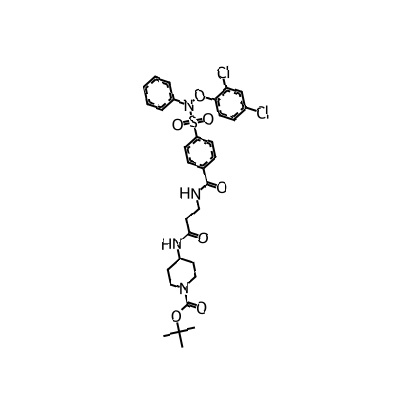 CC(C)(C)OC(=O)N1CCC(NC(=O)CCNC(=O)c2ccc(S(=O)(=O)N(Oc3ccc(Cl)cc3Cl)c3ccccc3)cc2)CC1